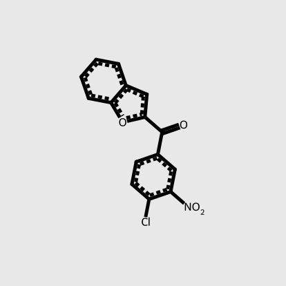 O=C(c1ccc(Cl)c([N+](=O)[O-])c1)c1cc2ccccc2o1